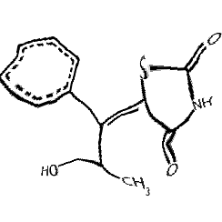 CC(O)C(=C1SC(=O)NC1=O)c1ccccc1